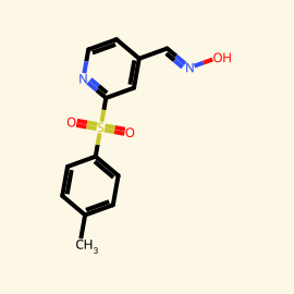 Cc1ccc(S(=O)(=O)c2cc(C=NO)ccn2)cc1